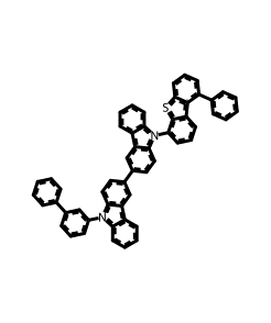 c1ccc(-c2cccc(-n3c4ccccc4c4cc(-c5ccc6c(c5)c5ccccc5n6-c5cccc6c5sc5cccc(-c7ccccc7)c56)ccc43)c2)cc1